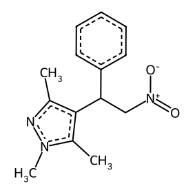 Cc1nn(C)c(C)c1C(C[N+](=O)[O-])c1ccccc1